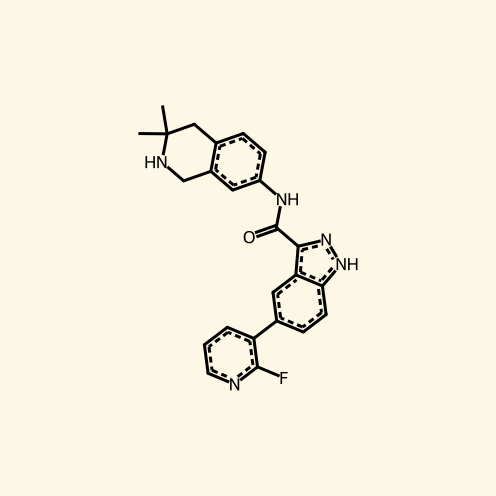 CC1(C)Cc2ccc(NC(=O)c3n[nH]c4ccc(-c5cccnc5F)cc34)cc2CN1